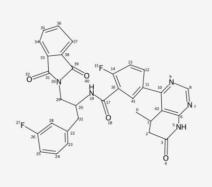 CC1CC(=O)Nc2ncnc(-c3ccc(F)c(C(=O)NC(Cc4cccc(F)c4)CN4C(=O)c5ccccc5C4=O)c3)c21